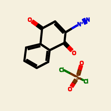 N#[N+]C1=CC(=O)c2ccccc2C1=O.O=S(=O)(Cl)Cl